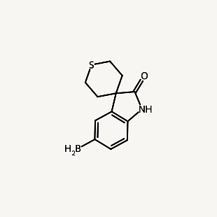 Bc1ccc2c(c1)C1(CCSCC1)C(=O)N2